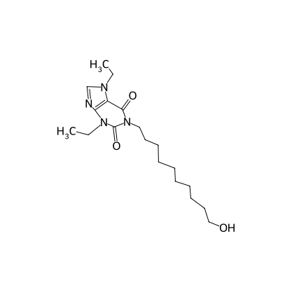 CCn1cnc2c1c(=O)n(CCCCCCCCCCO)c(=O)n2CC